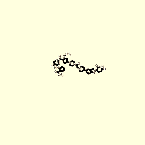 COc1cc(N2CCN(C(=O)CN3CCC(c4ccc5nn(C6CCC(=O)NC6=O)cc5c4)CC3)CC2)ccc1Nc1ncc(Cl)c(Nc2ccccc2C(C)=O)n1